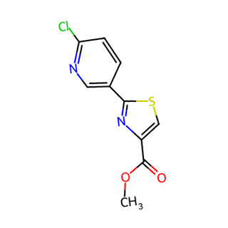 COC(=O)c1csc(-c2ccc(Cl)nc2)n1